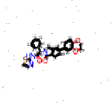 O=C(Nc1nccs1)[C@@H](c1ccccc1)N1Cc2cc(-c3ccc4c(c3)OCCO4)ccc2C1=O